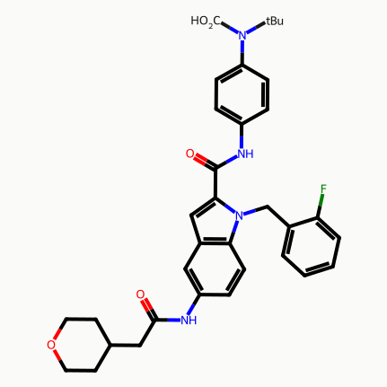 CC(C)(C)N(C(=O)O)c1ccc(NC(=O)c2cc3cc(NC(=O)CC4CCOCC4)ccc3n2Cc2ccccc2F)cc1